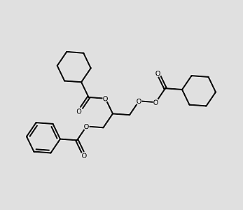 O=C(OCC(COOC(=O)C1CCCCC1)OC(=O)C1CCCCC1)c1ccccc1